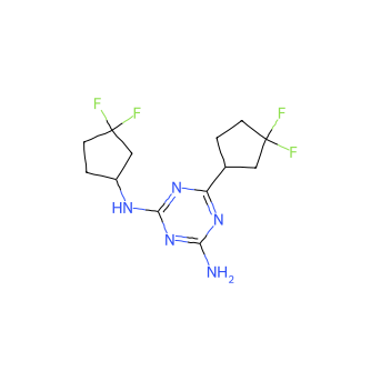 Nc1nc(NC2CCC(F)(F)C2)nc(C2CCC(F)(F)C2)n1